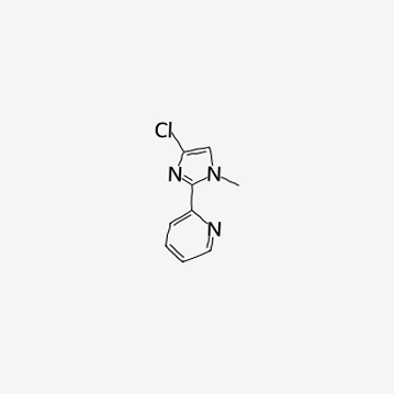 Cn1cc(Cl)nc1-c1ccccn1